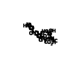 [C-]#[N+]/N=C(\NC[C@H](NC(=O)c1c(Cl)cc2c(c1Cl)CCN(C(=O)c1ccc3cn[nH]c3c1)C2)C(=O)O)N1C[C@@H](O)[C@H](O)C1